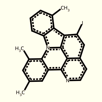 Cc1cc(C)c2c(c1)c1nccc3cc(I)c4c5c(C)cccc5n2c4c31